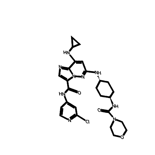 O=C(Nc1ccnc(Cl)c1)c1cnc2c(NC3CC3)cc(N[C@H]3CC[C@H](NC(=O)N4CCOCC4)CC3)nn12